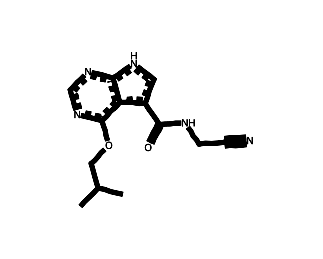 CC(C)COc1ncnc2[nH]cc(C(=O)NCC#N)c12